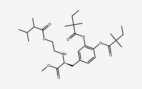 CCC(C)(C)C(=O)Oc1ccc(C[C@H](NCCOC(=O)C(C)C(C)C)C(=O)OC)cc1OC(=O)C(C)(C)CC